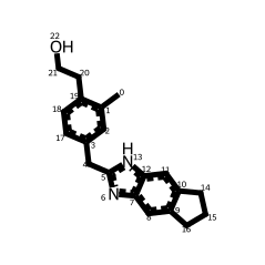 Cc1cc(Cc2nc3cc4c(cc3[nH]2)CCC4)ccc1CCO